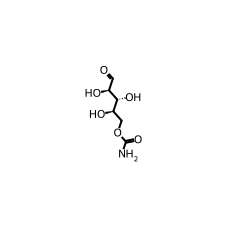 NC(=O)OC[C@@H](O)[C@@H](O)[C@@H](O)C=O